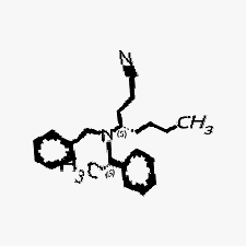 CCCC[C@@H](CCC#N)N(Cc1ccccc1)[C@@H](C)c1ccccc1